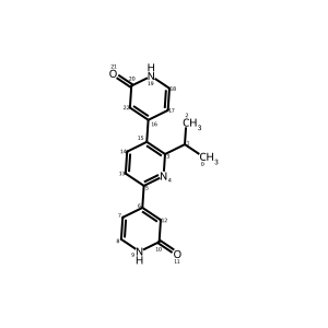 CC(C)c1nc(-c2cc[nH]c(=O)c2)ccc1-c1cc[nH]c(=O)c1